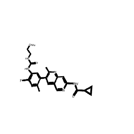 COCCNC(=O)Nc1cc(-c2cc3cnc(NC(=O)C4CC4)cc3nc2C)c(C)cc1F